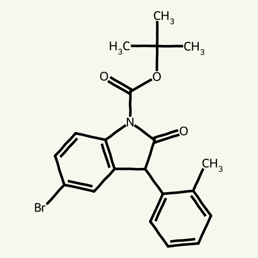 Cc1ccccc1C1C(=O)N(C(=O)OC(C)(C)C)c2ccc(Br)cc21